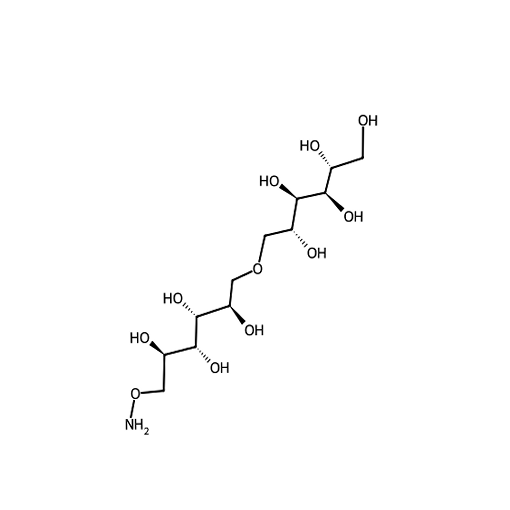 NOC[C@@H](O)[C@@H](O)[C@H](O)[C@H](O)COC[C@@H](O)[C@@H](O)[C@H](O)[C@H](O)CO